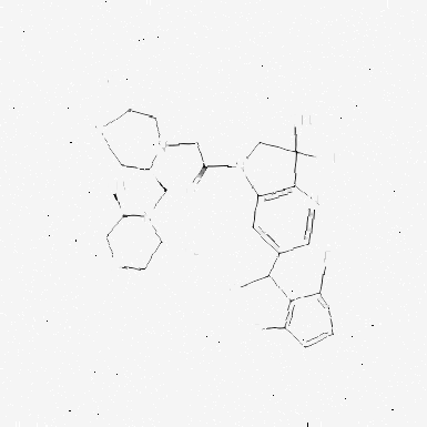 CC(c1cnc2c(c1)N(C(=O)CN1C[C@@H](C)NC[C@@H]1CN1[C@H](C)COC[C@H]1C)CC2(C)C)c1c(F)cccc1F